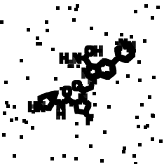 NC(O)c1nn(CC(=O)N2CC(F)CC2C(=O)NC23CNCC2C3)c2ccc(-c3ccnnc3)cc12